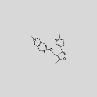 Cc1ccc(-c2noc(C)c2COc2cc3c(cn2)CN(C)C3)cn1